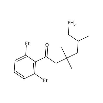 CCc1cccc(CC)c1C(=O)CC(C)(C)CC(C)CP